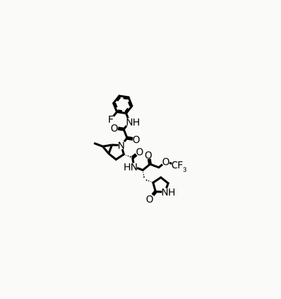 CC1C2C[C@@H](C(=O)N[C@@H](C[C@@H]3CCNC3=O)C(=O)COC(F)(F)F)N(C(=O)C(=O)Nc3ccccc3F)C12